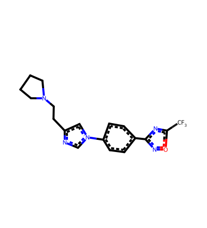 FC(F)(F)c1nc(-c2ccc(-n3cnc(CCN4CCCC4)c3)cc2)no1